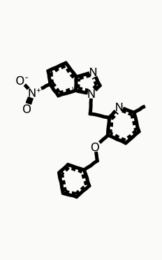 Cc1ccc(OCc2ccccc2)c(Cn2cnc3ccc([N+](=O)[O-])cc32)n1